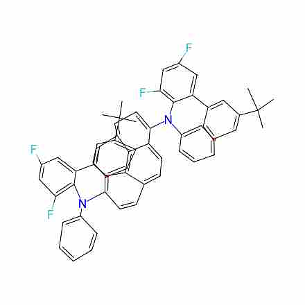 CC(C)(C)c1cccc(-c2cc(F)cc(F)c2N(c2ccccc2)c2ccc3ccc4c(N(c5ccccc5)c5c(F)cc(F)cc5-c5cccc(C(C)(C)C)c5)ccc5ccc2c3c54)c1